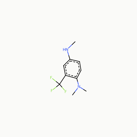 CNc1ccc(N(C)C)c(C(F)(F)F)c1